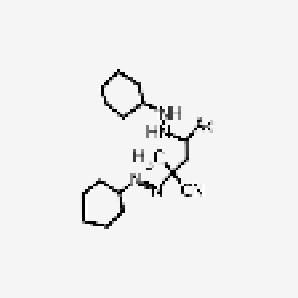 CC(=O)C(CC(C)(C#N)N=NC1CCCCC1)NNC1CCCCC1